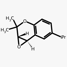 CC(C)c1ccc2c(c1)[C@H]1O[C@@H]1C(C)(C)O2